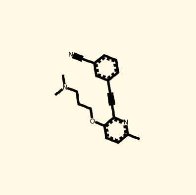 Cc1ccc(OCCCN(C)C)c(C#Cc2cccc(C#N)c2)n1